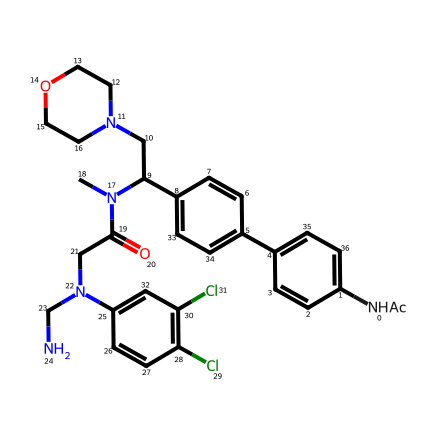 CC(=O)Nc1ccc(-c2ccc(C(CN3CCOCC3)N(C)C(=O)CN(CN)c3ccc(Cl)c(Cl)c3)cc2)cc1